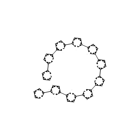 c1csc(-c2ccc(-c3ccc(-c4ccc(-c5ccc(-c6ccc(-c7ccc(-c8ccc(-c9ccc(-c%10ccc(-c%11cccs%11)s%10)s9)s8)s7)s6)s5)s4)s3)s2)c1